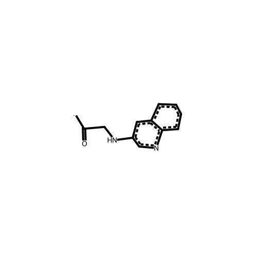 [CH2]C(=O)CNc1cnc2ccccc2c1